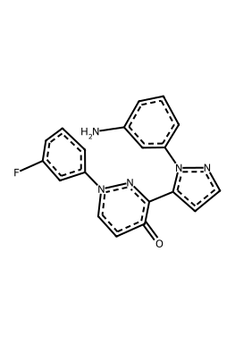 Nc1cccc(-n2nccc2-c2nn(-c3cccc(F)c3)ccc2=O)c1